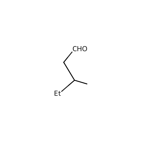 CCC(C)CC=O